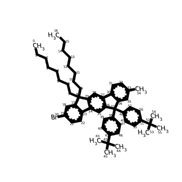 CCCCCCCCC1(CCCCCCCC)c2cc(Br)ccc2-c2cc3c(cc21)-c1ccc(C)cc1C3(c1ccc(C(C)(C)C)cc1)c1ccc(C(C)(C)C)cc1